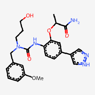 COc1cccc(CN(CCCO)C(=O)Nc2ccc(-c3cn[nH]c3)cc2OC(C)C(N)=O)c1